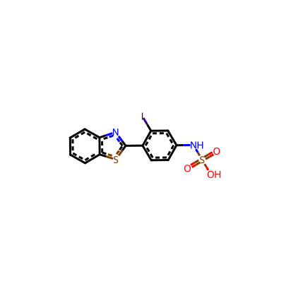 O=S(=O)(O)Nc1ccc(-c2nc3ccccc3s2)c(I)c1